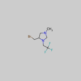 CN1CC(CBr)N(CC(F)(F)F)C1